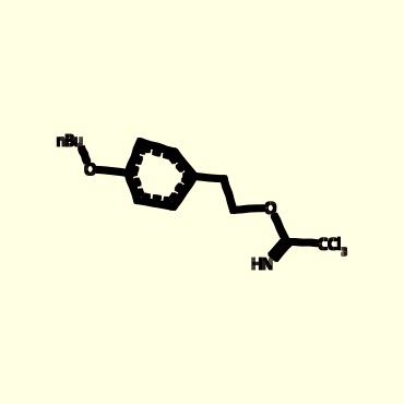 CCCCOc1ccc(CCOC(=N)C(Cl)(Cl)Cl)cc1